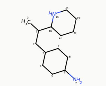 CC(CC1CCC(N)CC1)C1CCCCN1